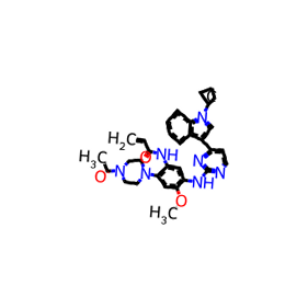 C=CC(=O)Nc1cc(Nc2nccc(-c3cn(C45CC(C4)C5)c4ccccc34)n2)c(OC)cc1N1CCN(C(C)=O)CC1